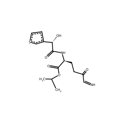 CC(C)OC(=O)[C@H](CCC(=O)C=N)NC(=O)[C@@H](O)c1ccsc1